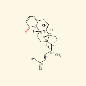 CC[C@H](/C=C/[C@@H](C)[C@H]1CC[C@H]2[C@@H]3CCC4=CC=CC(=O)[C@]4(C)[C@H]3CC[C@]12C)C(C)C